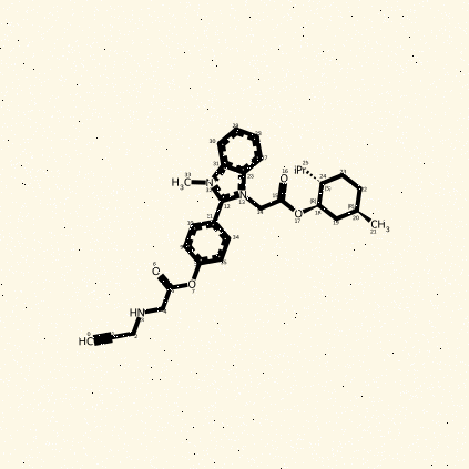 C#CCNCC(=O)Oc1ccc(-c2n(CC(=O)O[C@@H]3C[C@H](C)CC[C@H]3C(C)C)c3ccccc3[n+]2C)cc1